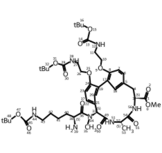 COC(=O)[C@@H]1Cc2ccc(OCCNC(=O)OC(C)(C)C)c(c2)-c2cc(ccc2OCCNC(=O)OC(C)(C)C)[C@H](N(C)C(=O)[C@@H](N)CCCCNC(=O)OC(C)(C)C)C(=O)N[C@@H](C)C(=O)N1